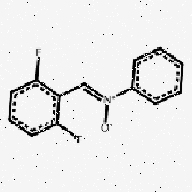 [O-][N+](=Cc1c(F)cccc1F)c1ccccc1